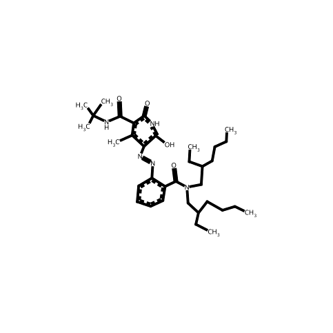 CCCCC(CC)CN(CC(CC)CCCC)C(=O)c1ccccc1/N=N/c1c(O)[nH]c(=O)c(C(=O)NC(C)(C)C)c1C